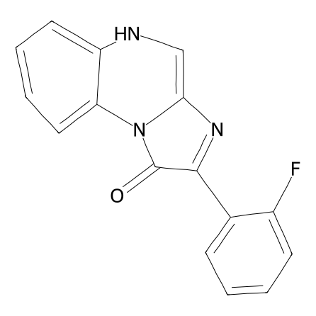 O=c1c(-c2ccccc2F)nc2c[nH]c3ccccc3n1-2